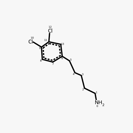 NCCCCCc1ccc(Cl)c(Cl)c1